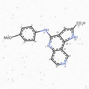 COc1ccc(Nc2nc3ccncc3c3[nH]c(C(=O)O)cc23)cc1